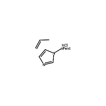 C=CC.CCCCCn1ccnc1.Cl